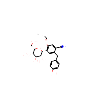 CCOc1cc(C#N)c(Cc2ccc(O)cc2)cc1[C@@H]1O[C@H](CO)[C@@H](O)[C@H](O)[C@H]1O